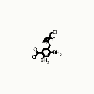 Bc1cc(B)c(C(=O)Cl)cc1C[C@@]12C=C1C2(F)CCl